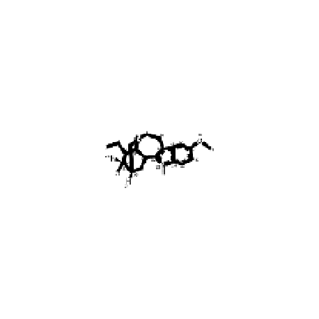 CCC1C2C3C[C@@H](CN2CCc2c3[nH]c3ccc(OC)cc23)[C@@H]1C